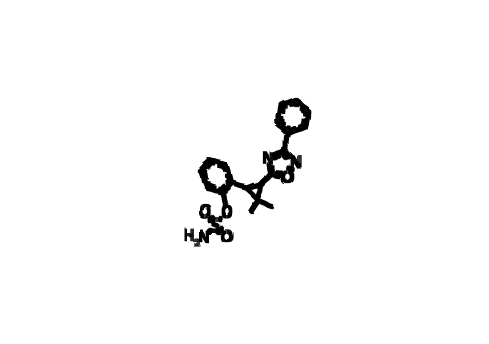 CC1(C)C(c2nc(-c3ccccc3)no2)C1c1ccccc1OS(N)(=O)=O